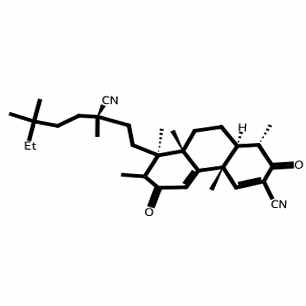 CCC(C)(C)CC[C@](C)(C#N)CC[C@]1(C)C(C)C(=O)C=C2[C@@]3(C)C=C(C#N)C(=O)[C@@H](C)[C@@H]3CC[C@]21C